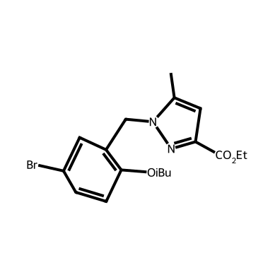 CCOC(=O)c1cc(C)n(Cc2cc(Br)ccc2OCC(C)C)n1